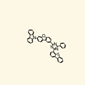 c1ccc(-c2nc(-c3ccc4oc5cc(-n6c7ccccc7c7ccccc76)ccc5c4c3)nc(-c3cccc4c3sc3ccccc34)n2)cc1